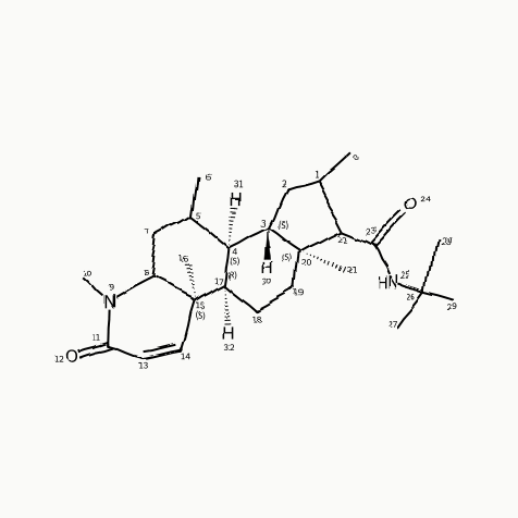 CC1C[C@H]2[C@@H]3C(C)CC4N(C)C(=O)C=C[C@]4(C)[C@@H]3CC[C@]2(C)C1C(=O)NC(C)(C)C